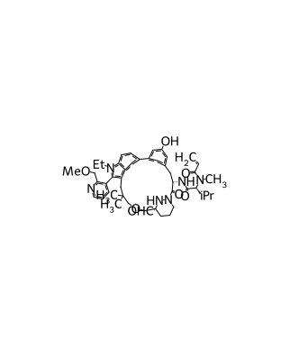 C=CC(=O)N(C)[C@H](C(=O)N[C@H]1Cc2cc(O)cc(c2)-c2ccc3c(c2)c(c(-c2cccnc2COC)n3CC)CC(C)(C)COC[C@@]2(C=O)CCCN(N2)C1=O)C(C)C